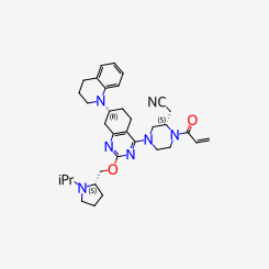 C=CC(=O)N1CCN(c2nc(OC[C@@H]3CCCN3C(C)C)nc3c2CC[C@@H](N2CCCc4ccccc42)C3)C[C@@H]1CC#N